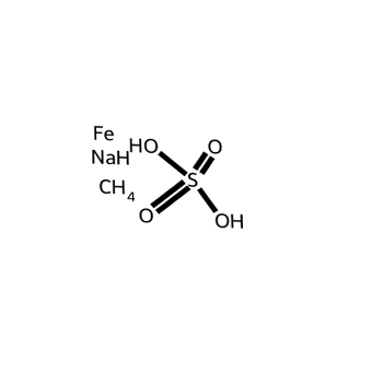 C.O=S(=O)(O)O.[Fe].[NaH]